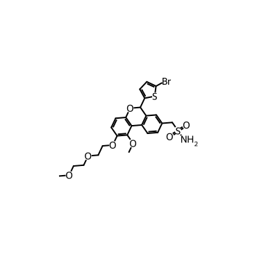 COCCOCCOc1ccc2c(c1OC)-c1ccc(CS(N)(=O)=O)cc1C(c1ccc(Br)s1)O2